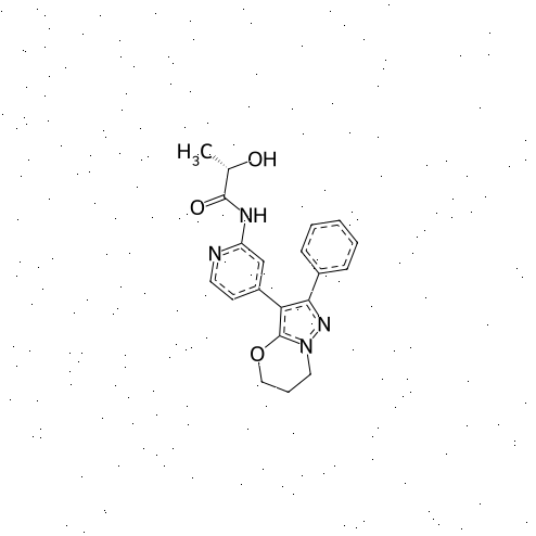 C[C@H](O)C(=O)Nc1cc(-c2c(-c3ccccc3)nn3c2OCCC3)ccn1